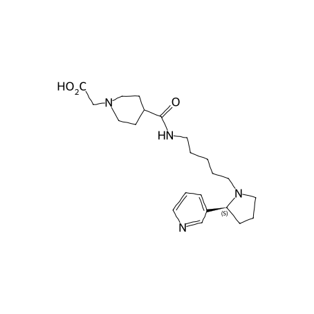 O=C(O)CN1CCC(C(=O)NCCCCCN2CCC[C@H]2c2cccnc2)CC1